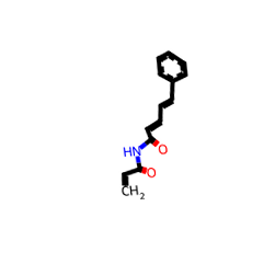 C=CC(=O)NC(=O)C=CC=Cc1ccccc1